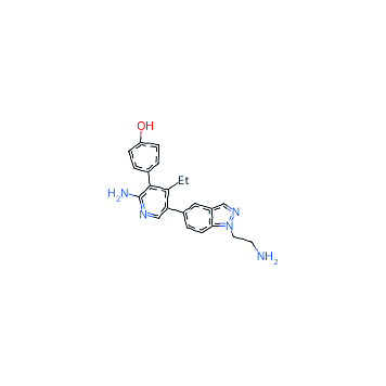 CCc1c(-c2ccc3c(cnn3CCN)c2)cnc(N)c1-c1ccc(O)cc1